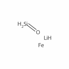 O=[SiH2].[Fe].[LiH]